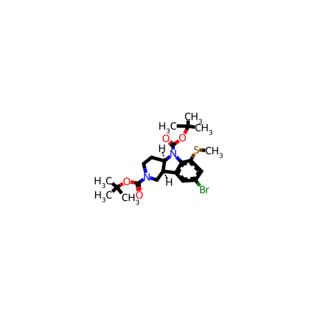 CSc1cc(Br)cc2c1N(C(=O)OC(C)(C)C)[C@@H]1CCN(C(=O)OC(C)(C)C)C[C@H]21